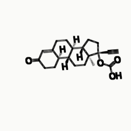 C#C[C@]1(OC(=O)O)CC[C@H]2[C@@H]3CCC4=CC(=O)CC[C@@H]4[C@H]3CC[C@@]21C